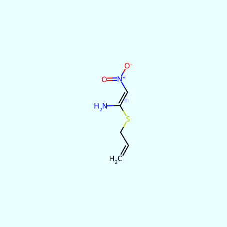 C=CCS/C(N)=C/[N+](=O)[O-]